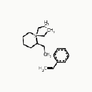 C=Cc1ccccc1.CCC1CCCC[Si]1(CC)CC